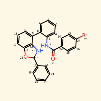 O=C(Nc1ccccc1-c1cccc2c1NC(c1ccccc1)O2)c1ccc(Br)cc1